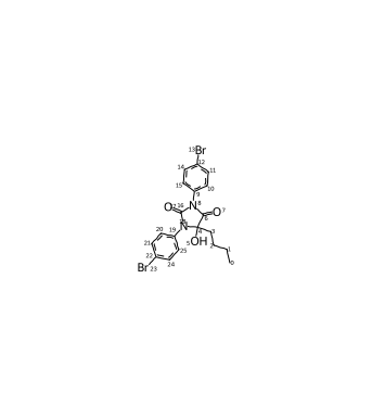 CCCCC1(O)C(=O)N(c2ccc(Br)cc2)C(=O)N1c1ccc(Br)cc1